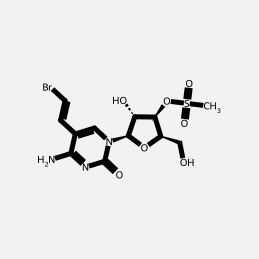 CS(=O)(=O)O[C@@H]1[C@@H](O)[C@H](n2cc(/C=C/Br)c(N)nc2=O)O[C@@H]1CO